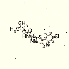 CC(C)COC(=O)Nc1nnc(Sc2ccnc3cc(Cl)ccc23)s1